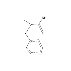 CC(Cc1ccccc1)C([NH])=O